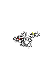 c1ccc2c(c1)-c1ccc(-c3ccc4sc5ccccc5c4c3)cc1-c1cc3c4ccccc4c4ccccc4c3cc1-c1c(-c3ccc4sc5ccccc5c4c3)cccc1-2